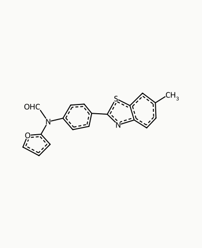 Cc1ccc2nc(-c3ccc(N(C=O)c4ccco4)cc3)sc2c1